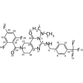 CN(C)n1c(NCc2ccc(C(F)(F)F)cc2)nc2c(c1=O)CN(C(=O)c1c(F)cc(F)cc1F)CC2